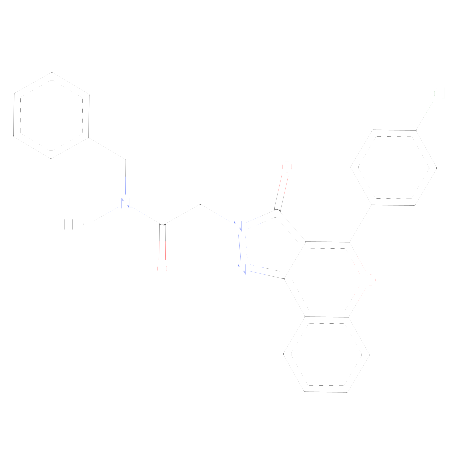 CN(Cc1ccccc1)C(=O)Cn1nc2c3ccccc3oc(-c3ccc(Cl)cc3)c-2c1=O